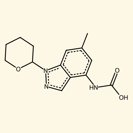 Cc1cc(NC(=O)O)c2cnn(C3CCCCO3)c2c1